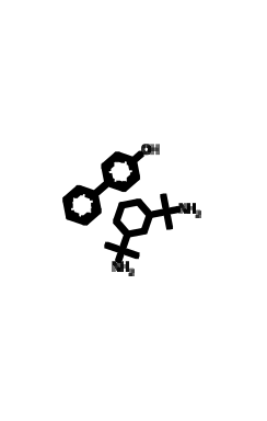 CC(C)(N)C1CCCC(C(C)(C)N)C1.Oc1ccc(-c2ccccc2)cc1